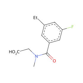 CCc1cc(F)cc(C(=O)N(C)CC(=O)O)c1